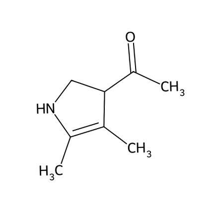 CC(=O)C1CNC(C)=C1C